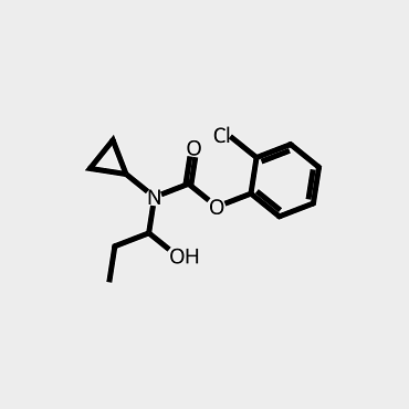 CCC(O)N(C(=O)Oc1ccccc1Cl)C1CC1